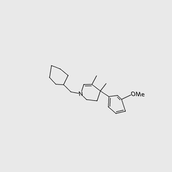 COc1cccc(C2(C)CCN(CC3CCCCC3)C=C2C)c1